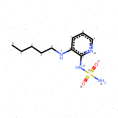 CCCCCNc1cccnc1NS(N)(=O)=O